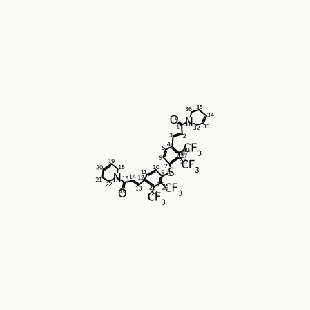 O=C(C=Cc1ccc(Sc2ccc(C=CC(=O)N3CC=CCC3)c(C(F)(F)F)c2C(F)(F)F)c(C(F)(F)F)c1C(F)(F)F)N1CC=CCC1